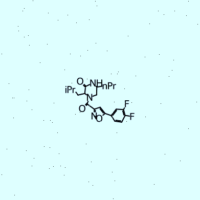 CCCC1CN(C(=O)c2cc(-c3ccc(F)c(F)c3)on2)C(CC(C)C)C(=O)N1